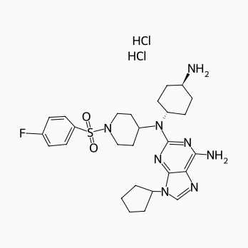 Cl.Cl.Nc1nc(N(C2CCN(S(=O)(=O)c3ccc(F)cc3)CC2)[C@H]2CC[C@H](N)CC2)nc2c1ncn2C1CCCC1